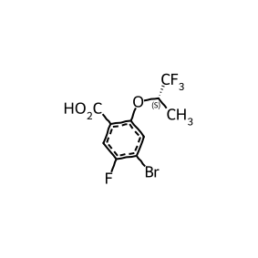 C[C@H](Oc1cc(Br)c(F)cc1C(=O)O)C(F)(F)F